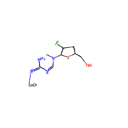 CN(/C=N\C(N)=N/C=O)C1SC(CO)CC1F